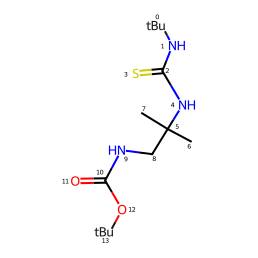 CC(C)(C)NC(=S)NC(C)(C)CNC(=O)OC(C)(C)C